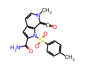 Cc1ccc(S(=O)(=O)n2c(C(N)=O)cc3c2C(=C=O)N(C)C=C3)cc1